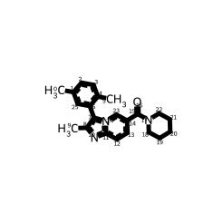 Cc1ccc(C)c(-c2c(C)nc3ccc(C(=O)N4CCCCC4)cn23)c1